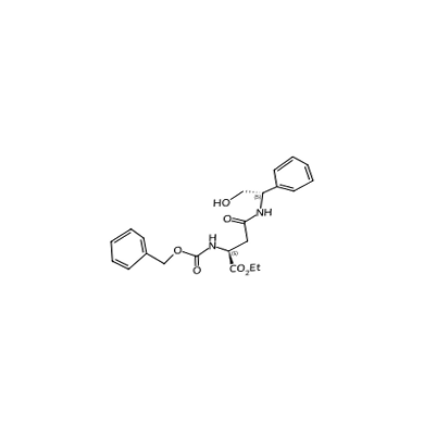 CCOC(=O)[C@H](CC(=O)N[C@H](CO)c1ccccc1)NC(=O)OCc1ccccc1